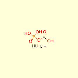 O=C(O)OP(=O)(O)O.[LiH].[LiH]